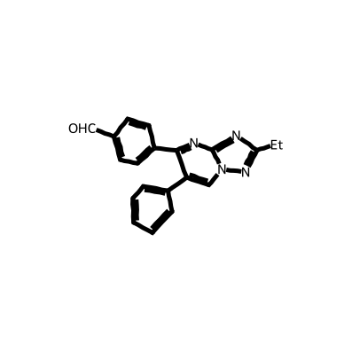 CCc1nc2nc(-c3ccc(C=O)cc3)c(-c3ccccc3)cn2n1